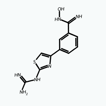 N=C(N)Nc1nc(-c2cccc(C(=N)NO)c2)cs1